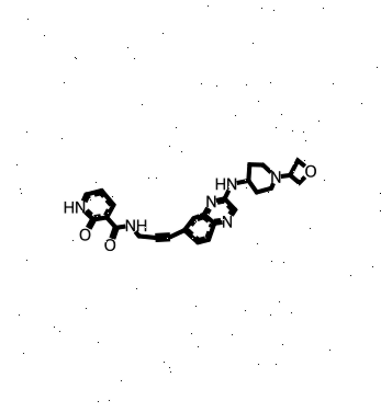 O=C(NCC#Cc1ccc2ncc(NC3CCN(C4COC4)CC3)nc2c1)c1ccc[nH]c1=O